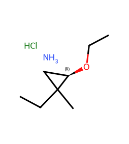 CCO[C@@H]1CC1(C)CC.Cl.N